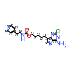 Nc1nc(Cl)nc2c1N=CC2CCCCCOC(=O)NCCc1ccncc1